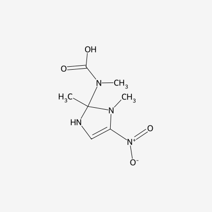 CN(C(=O)O)C1(C)NC=C([N+](=O)[O-])N1C